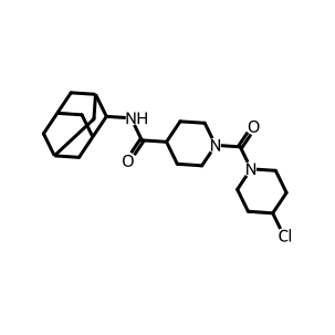 O=C(NC1C2CC3CC(C2)CC1C3)C1CCN(C(=O)N2CCC(Cl)CC2)CC1